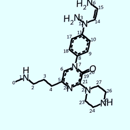 CNCCCc1cn(-c2ccc(N(N)/C=C\N)cc2)c(=O)c(N2CCNCC2)n1